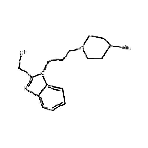 CCCCC1CCN(CCCn2c(CO)nc3ccccc32)CC1